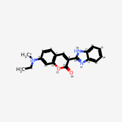 CCN(C)c1ccc2cc(-c3nc4ccccc4[nH]3)c(=O)oc2c1